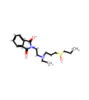 CCC[S+]([O-])CCCN(CC)CCN1C(=O)c2ccccc2C1=O